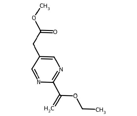 C=C(OCC)c1ncc(CC(=O)OC)cn1